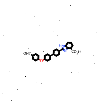 O=Cc1ccc(Oc2ccc(-c3ccc(-c4nc5c(C(=O)O)cccc5[nH]4)cc3)cc2)cc1